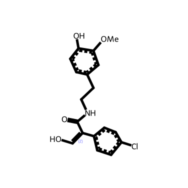 COc1cc(CCNC(=O)/C(=C\O)c2ccc(Cl)cc2)ccc1O